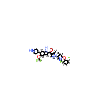 Cc1cc(Oc2c(F)cccc2F)ncc1-n1ncc(C(=O)c2cc3cc(OC(F)F)c(C4CCNCC4)cc3[nH]2)c1C